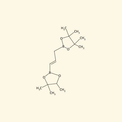 CC1OB(/C=C/CB2OC(C)(C)C(C)(C)O2)OC1(C)C